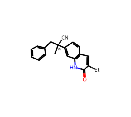 CCc1cc2ccc([C@@](C)(C#N)Cc3ccccc3)cc2[nH]c1=O